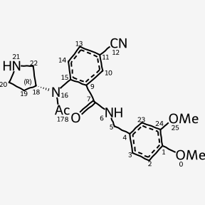 COc1ccc(CNC(=O)c2cc(C#N)ccc2N(C(C)=O)[C@@H]2CCNC2)cc1OC